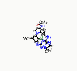 CC[C@H]1CN(c2cc(C#N)cc(Nc3nc(NC4CC4)c4ncc(C#N)n4n3)c2Cl)CC[C@H]1NC(=O)OC